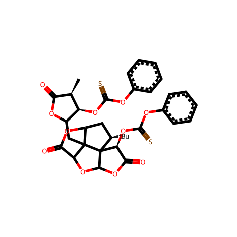 C[C@@H]1C(=O)OC(CC23C4C[C@@H](C(C)(C)C)C25C(OC(=O)[C@@H]5OC(=S)Oc2ccccc2)OC3C(=O)O4)[C@@H]1OC(=S)Oc1ccccc1